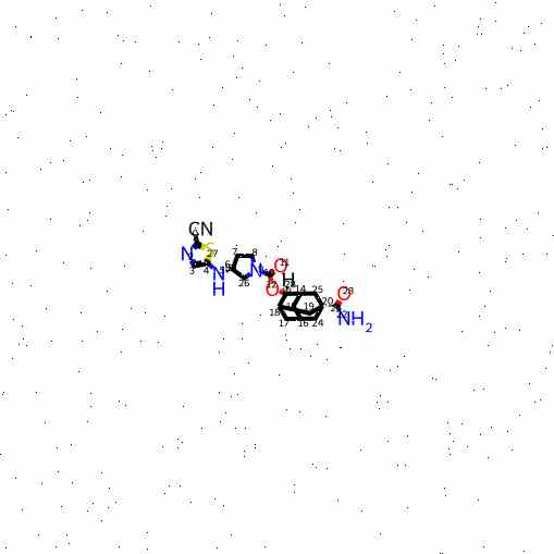 N#Cc1ncc(N[C@@H]2CCN(C(=O)O[C@H]3C4CC5CC3C[C@](C(N)=O)(C5)C4)C2)s1